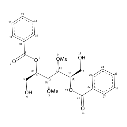 CO[C@@H]([C@H](OC)[C@@H](CO)OC(=O)c1ccccc1)[C@@H](CO)OC(=O)c1ccccc1